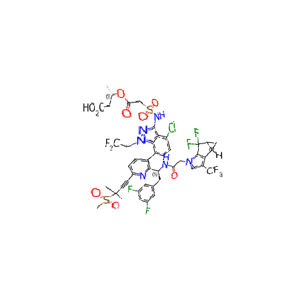 C[C@@H](CC(=O)O)OC(=O)CS(=O)(=O)Nc1nn(CC(F)(F)F)c2c(-c3ccc(C#CC(C)(C)S(C)(=O)=O)nc3[C@H](Cc3cc(F)cc(F)c3)NC(=O)Cn3cc(C(F)(F)F)c4c3C(F)(F)C3C[C@H]43)ccc(Cl)c12